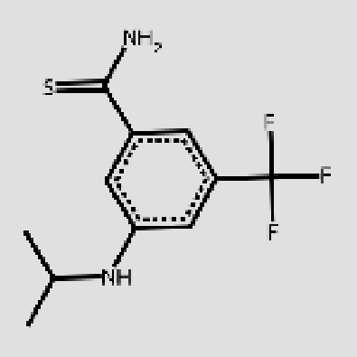 CC(C)Nc1cc(C(N)=S)cc(C(F)(F)F)c1